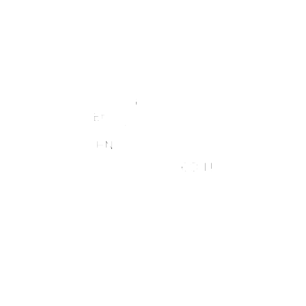 CCC1(CC)Cc2c(cccc2C(=O)O)N1